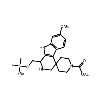 COc1ccc2c3c([nH]c2c1)C(CO[Si](C)(C)C(C)(C)C)NCC31CCN(C(=O)OC(C)=O)CC1